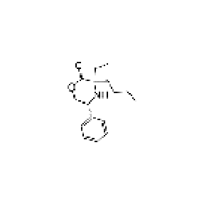 CCCC[C@@]1(CC)N[C@H](c2ccccc2)COC1=O